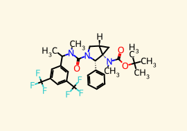 CC(c1cc(C(F)(F)F)cc(C(F)(F)F)c1)N(C)C(=O)N1C[C@@H]2C[C@@]2(N(C)C(=O)OC(C)(C)C)[C@@H]1c1ccccc1